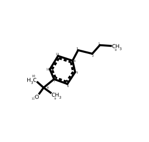 CCCCc1ccc(C(C)(C)[O])cc1